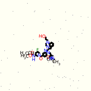 CCn1cc(Cn2c(-c3cc4cccc5c4n3CCN5CCCO)nc3cc(C(=O)N4C[C@H](F)C[C@@H](NC(=O)OC(C)(C)C)C4)cc(OC)c32)cn1